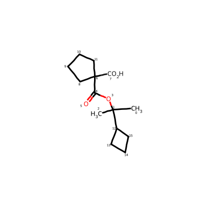 CC(C)(OC(=O)C1(C(=O)O)CCCC1)C1CCC1